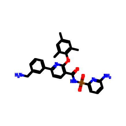 Cc1cc(C)c(Oc2nc(-c3cccc(CN)c3)ccc2C(=O)NS(=O)(=O)c2cccc(N)n2)c(C)c1